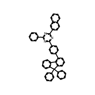 c1ccc(-c2nc(-c3ccc(-c4cccc5c4-c4ccccc4C5(c4ccccc4)c4ccccc4)cc3)nc(-c3ccc4ccccc4c3)n2)cc1